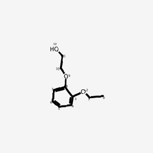 CCOc1ccccc1OCCO